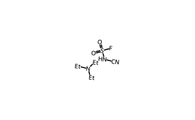 CCN(CC)CC.N#CNS(=O)(=O)F